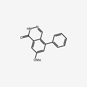 COc1cc(-c2ccccc2)c2cn[nH]c(=O)c2c1